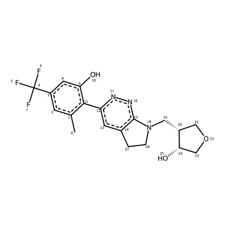 Cc1cc(C(F)(F)F)cc(O)c1-c1cc2c(nn1)N(C[C@@H]1COC[C@@H]1O)CC2